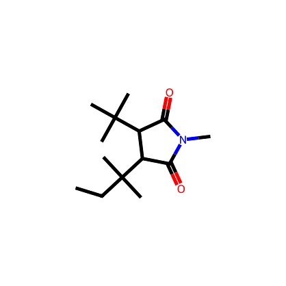 CCC(C)(C)C1C(=O)N(C)C(=O)C1C(C)(C)C